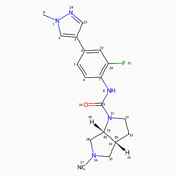 Cn1cc(-c2ccc(NC(=O)N3CC[C@@H]4CN(C#N)C[C@@H]43)c(F)c2)cn1